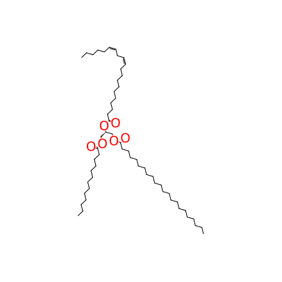 CCCCC/C=C\C/C=C\CCCCCCCCCC(=O)O[C@H](COC(=O)CCCCCCCCCCCC)COC(=O)CCCCCCCCCCCCCCCCCCCCC